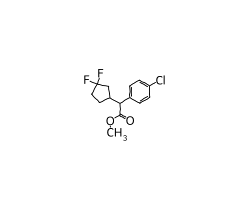 COC(=O)C(c1ccc(Cl)cc1)C1CCC(F)(F)C1